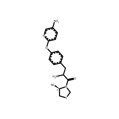 N#C[C@@H]1CSCN1C(=O)C(N)Cc1ccc(Oc2ccc([N+](=O)[O-])cn2)cc1